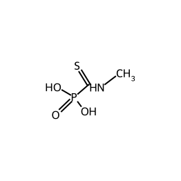 CNC(=S)P(=O)(O)O